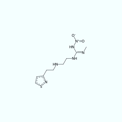 CN=C(NCCNCCc1ccsn1)N[N+](=O)[O-]